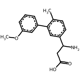 COc1cccc(-c2cc(C(N)CC(=O)O)ccc2C)c1